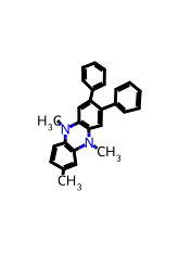 Cc1ccc2c(c1)N(C)c1cc(-c3ccccc3)c(-c3ccccc3)cc1N2C